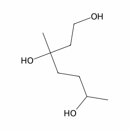 CC(O)CCC(C)(O)CCO